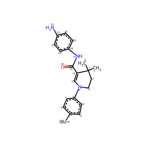 CC1(C)CCN(c2ccc(C(C)(C)C)cc2)C=C1C(=O)Nc1ccc(N)cc1